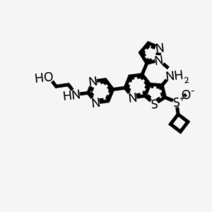 Cn1nccc1-c1cc(-c2cnc(NCCO)nc2)nc2sc([S+]([O-])C3CCC3)c(N)c12